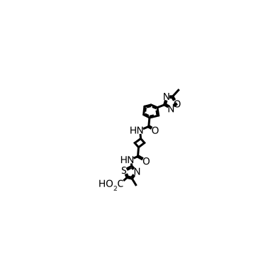 Cc1nc(-c2cccc(C(=O)NC3CC(C(=O)Nc4nc(C)c(C(=O)O)s4)C3)c2)no1